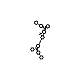 CC1(C)c2cc(C#Cc3ccc(N(c4ccccc4)c4ccc(-c5ccccc5)cc4)cc3)ccc2-c2ccc(N(c3ccccc3)c3ccc(-c4ccccc4)cc3)cc21